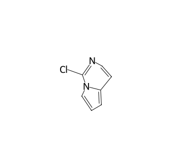 Clc1nccc2cccn12